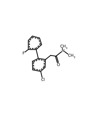 CN(C)C(=O)Cc1cc(Cl)ccc1-c1ccccc1F